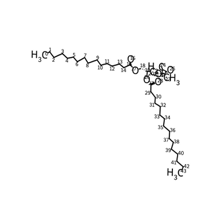 CCCCCCCCCCCCCCCC(=O)OC[C@H](COP(C)(C)=O)OC(=O)CCCCCCCCCCCCCCC